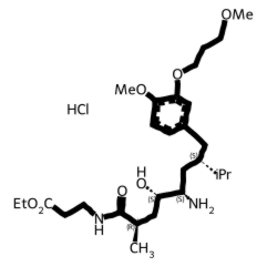 CCOC(=O)CCNC(=O)[C@H](C)C[C@H](O)[C@@H](N)C[C@H](Cc1ccc(OC)c(OCCCOC)c1)C(C)C.Cl